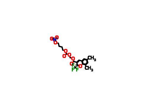 Cc1cc(C)c2c(c1)C=C(C(=O)OCOC(=O)OCCCCO[N+](=O)[O-])[C@@H](C(F)(F)F)O2